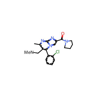 CNCc1c(C)nc2nc(C(=O)N3CCCC3)cn2c1-c1ccccc1Cl